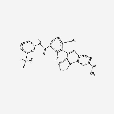 CNc1ncc2c(n1)N1CCN=C1C(c1c(C)ccc(C(=O)Nc3cccc(C(F)(F)F)c3)c1F)=C2